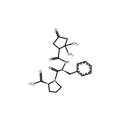 CC1(C)CC(=O)CC1C(=O)N[C@@H](Cc1ccccc1)C(=O)N1CCC[C@H]1C(N)=O